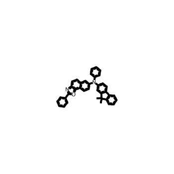 CC1(C)c2ccccc2-c2ccc(N(c3ccccc3)c3ccc4c(ccc5nc(-c6ccccc6)oc54)c3)cc21